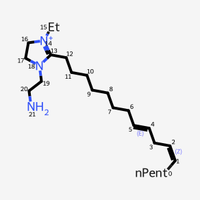 CCCCC/C=C\C/C=C/CCCCCCCC1=[N+](CC)CCN1CCN